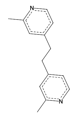 Cc1cc(CCc2ccnc(C)c2)ccn1